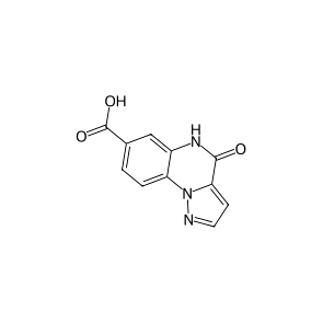 O=C(O)c1ccc2c(c1)[nH]c(=O)c1ccnn12